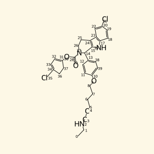 CCNCCCCCCOc1ccc(C2c3[nH]c4ccc(Cl)cc4c3CCN2C(=O)OC2=CC=C(Cl)CC2)cc1